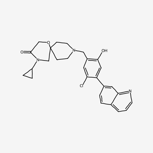 O=C1COC2(CCN(Cc3cc(Cl)c(-c4ccc5cccnc5c4)cc3O)CC2)CN1C1CC1